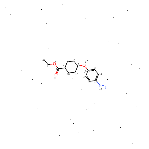 CCOC(=O)[C@H]1CC[C@@H](Oc2ccc(N)cc2)CC1